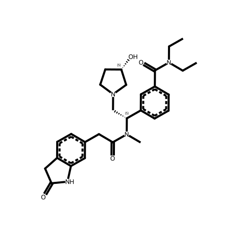 CCN(CC)C(=O)c1cccc([C@@H](CN2CC[C@H](O)C2)N(C)C(=O)Cc2ccc3c(c2)NC(=O)C3)c1